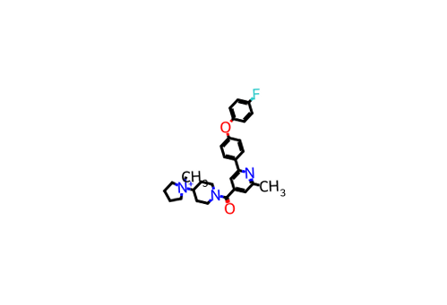 Cc1cc(C(=O)N2CCC([N+]3(C)CCCC3)CC2)cc(-c2ccc(Oc3ccc(F)cc3)cc2)n1